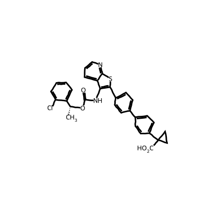 C[C@@H](OC(=O)Nc1c(-c2ccc(-c3ccc(C4(C(=O)O)CC4)cc3)cc2)sc2ncccc12)c1ccccc1Cl